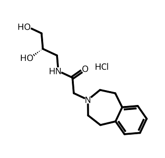 Cl.O=C(CN1CCc2ccccc2CC1)NC[C@H](O)CO